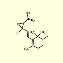 CC1=C(/C=C/C2(C)OC2C(=O)O)C(C)(C)C(I)CC1